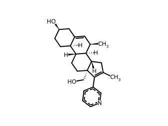 CC1=C(c2cccnc2)[C@@]2(CO)CC[C@H]3[C@@H]([C@H](C)C=C4C[C@H](O)CC[C@@H]43)[C@@H]2C1